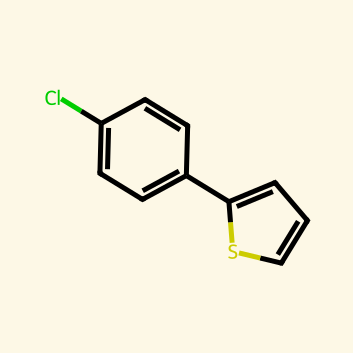 Clc1ccc(-c2cccs2)cc1